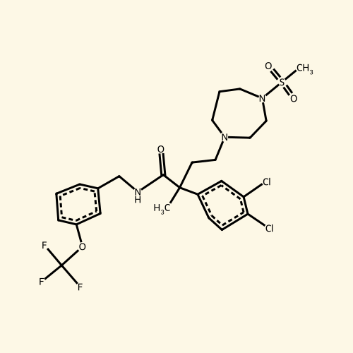 CC(CCN1CCCN(S(C)(=O)=O)CC1)(C(=O)NCc1cccc(OC(F)(F)F)c1)c1ccc(Cl)c(Cl)c1